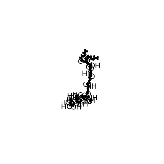 CC(=O)NC1C(O)[C@H](O[C@@H]2OC(CO)[C@H](O)C(O[C@H]3OC(CO)[C@H](O)C(O)C3O)C2O)C(CO)O[C@H]1OCCCNC(=O)CCCCC(=O)NCCOP(=O)(O)OCC(COC(=O)C(C)C(C)/C=C\C(C)C(C)C)OC(=O)C(C)C(C)/C=C\C(C)C(C)C